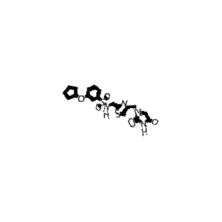 O=C1CN(Cc2csc(CNS(=O)(=O)c3cccc(OC4CCCC4)c3)n2)C(=O)N1